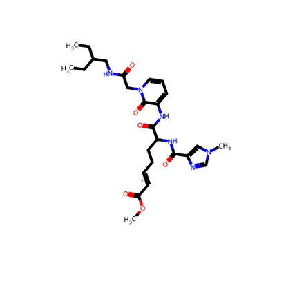 CCC(CC)CNC(=O)Cn1cccc(NC(=O)C(CC/C=C/C(=O)OC)NC(=O)c2cn(C)cn2)c1=O